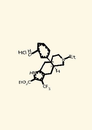 CCOC(=O)c1[nH]c2c(c1C(F)(F)F)C[C@@H]1CN(CC)CC[C@@]1(c1cccc(O)c1)C2.Cl